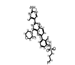 Cc1nc(N)ncc1-c1nc(N2CCOC[C@@H]2C)c2nc(-c3cccc(NS(=O)(=O)CCCF)c3F)ccc2n1